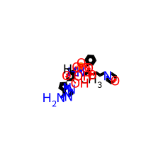 C[C@H](NP(=O)(Oc1ccccc1)OC1[C@H]2O[C@@H](c3ccc4c(N)ncnn34)[C@H](O)[C@@]12O)C(=O)OCCCN1CCOCC1